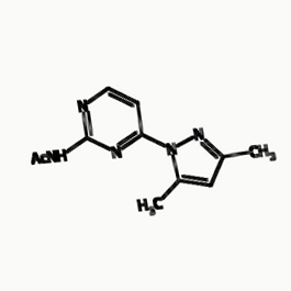 CC(=O)Nc1nccc(-n2nc(C)cc2C)n1